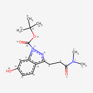 CN(C)C(=O)CCc1nn(C(=O)OC(C)(C)C)c2cc(O)ccc12